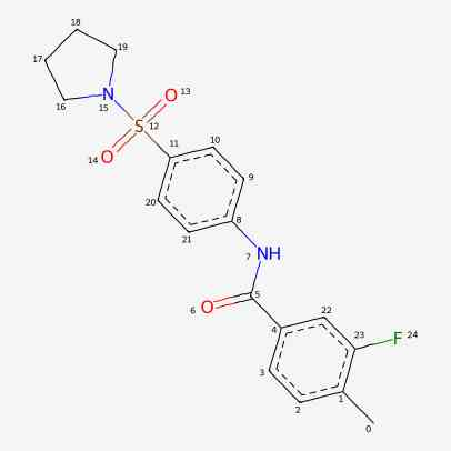 Cc1ccc(C(=O)Nc2ccc(S(=O)(=O)N3CCCC3)cc2)cc1F